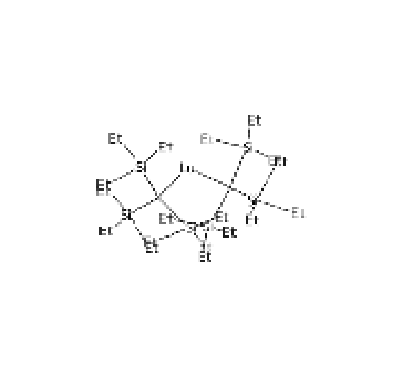 CC[Si](CC)(CC)[C]([Lu][C]([Si](CC)(CC)CC)([Si](CC)(CC)CC)[Si](CC)(CC)CC)([Si](CC)(CC)CC)[Si](CC)(CC)CC